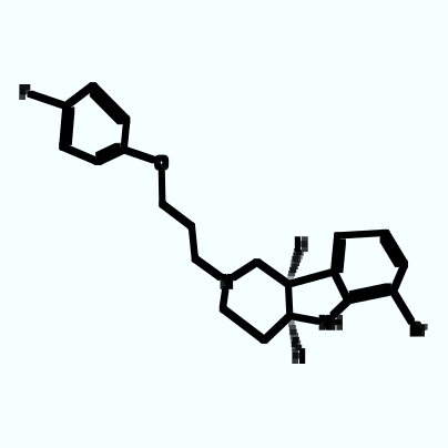 Fc1ccc(OCCCN2CC[C@@H]3Nc4c(Br)cccc4[C@@H]3C2)cc1